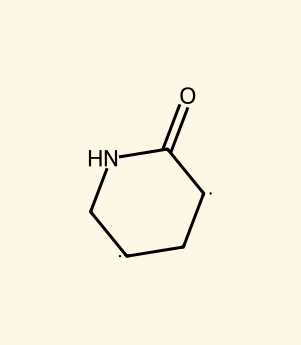 O=C1[CH]C[CH]CN1